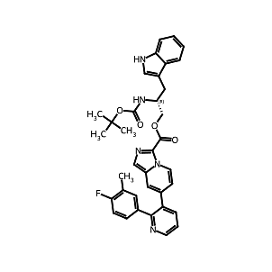 Cc1cc(-c2ncccc2-c2ccn3c(C(=O)OC[C@@H](Cc4c[nH]c5ccccc45)NC(=O)OC(C)(C)C)ncc3c2)ccc1F